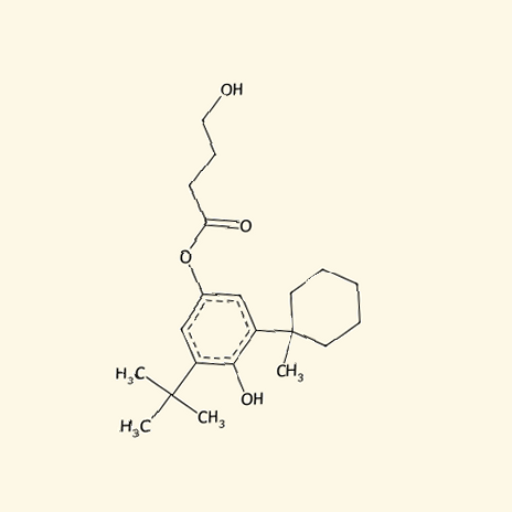 CC(C)(C)c1cc(OC(=O)CCCO)cc(C2(C)CCCCC2)c1O